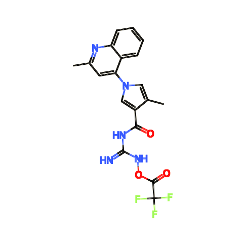 Cc1cc(-n2cc(C)c(C(=O)NC(=N)NOC(=O)C(F)(F)F)c2)c2ccccc2n1